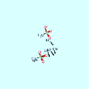 CC#N.CC#N.CC#N.CC#N.O=S(=O)([O-])C(F)(F)F.O=S(=O)([O-])C(F)(F)F.[Ni+2]